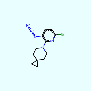 [N-]=[N+]=Nc1ccc(Br)nc1N1CCC2(CC1)CC2